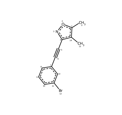 Cc1onc(C#Cc2cccc(Br)c2)c1C